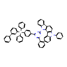 c1ccc(-c2cccc([Si](c3ccccc3)(c3ccccc3)c3ccc(-c4nc(-c5ccccc5)nc(-n5c6ccccc6c6ccc7c(c8ccccc8n7-c7ccccc7)c65)n4)cc3)c2)cc1